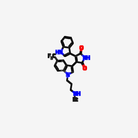 CCNCCCn1cc(C2=C(c3c[nH]c4ccccc34)C(=O)NC2=O)c2cc(C(F)(F)F)ccc21